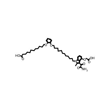 Cc1c(C(=O)C(N)=O)c2c(OCC(=O)O)cccc2n1CCCCCCCCCCCCOc1ccccc1OCCCCCCCCCCCC(=O)O